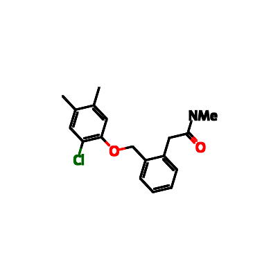 CNC(=O)Cc1ccccc1COc1cc(C)c(C)cc1Cl